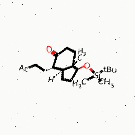 CC(=O)CC[C@@H]1C(=O)CC[C@]2(C)[C@@H](O[Si](C)(C)C(C)(C)C)CC[C@@H]12